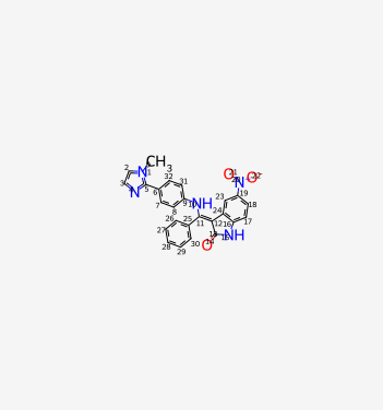 Cn1ccnc1-c1ccc(NC(=C2C(=O)Nc3ccc([N+](=O)[O-])cc32)c2ccccc2)cc1